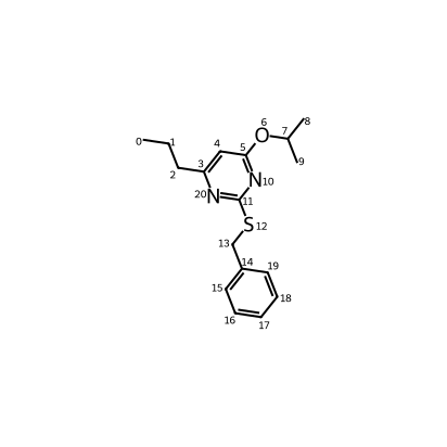 CCCc1cc(OC(C)C)nc(SCc2ccccc2)n1